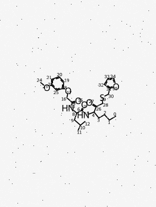 CCCCC(NC(=O)C(CC(C)C)NC(=O)COc1cccc(OC)c1)C(=O)CSCc1ccco1